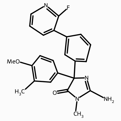 COc1ccc(C2(c3cccc(-c4cccnc4F)c3)N=C(N)N(C)C2=O)cc1C